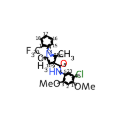 COc1cc(OC)c(NC(=O)c2cc(C)n(-c3ccccc3C(F)(F)F)c2C)cc1Cl